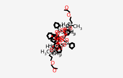 C[Si](C)(CCCOCC1CO1)O[Si](C)(C)O[Si]1(C)O[Si]2(c3ccccc3)O[Si]3(c4ccccc4)O[Si]4(c5ccccc5)O[Si](C)(O[Si](C)(C)O[Si](C)(C)CCCOCC5CO5)O[Si]5(c6ccccc6)O[Si](c6ccccc6)(O[Si](c6ccccc6)(O1)O[Si](c1ccccc1)(O5)O[Si](c1ccccc1)(O2)O4)O3